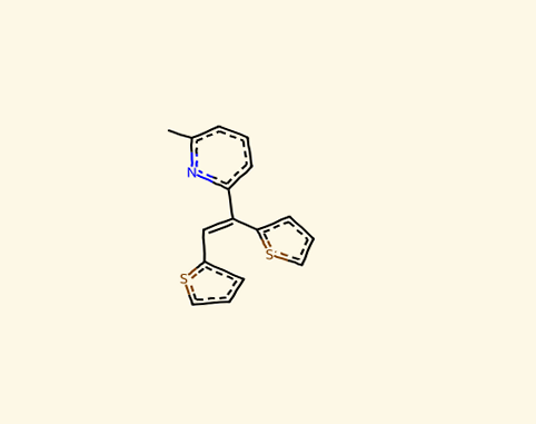 Cc1cccc(C(=Cc2cccs2)c2cccs2)n1